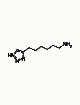 NCCCCCCc1c[nH]nn1